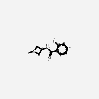 CN1CC(NC(=O)c2ccccc2F)C1